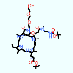 CCC1=C(C)c2cc3[nH]c(cc4nc(c5c6[nH]c(cc1n2)c(C)c6C(=O)N(CCOCCOCCO)C5=O)[C@@H](CCC(=O)N(C)CCNC(=O)OC(C)(C)C)[C@@H]4C)c(C)c3/C=C/C(=O)OC(C)(C)C